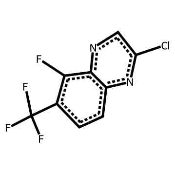 Fc1c(C(F)(F)F)ccc2nc(Cl)cnc12